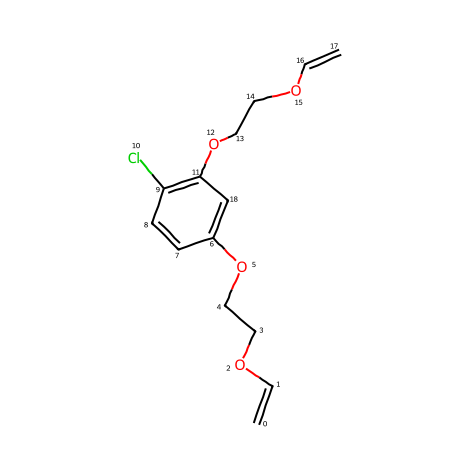 C=COCCOc1ccc(Cl)c(OCCOC=C)c1